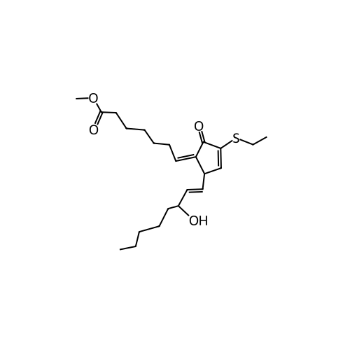 CCCCCC(O)C=CC1C=C(SCC)C(=O)C1=CCCCCCC(=O)OC